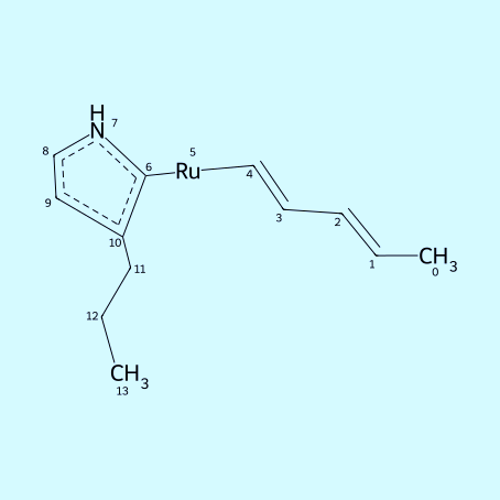 CC=CC=[CH][Ru][c]1[nH]ccc1CCC